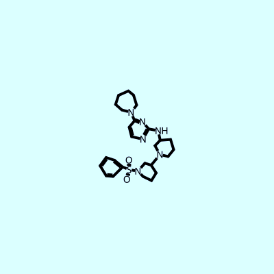 O=S(=O)(c1ccccc1)N1CCCC(N2CCCC(Nc3nccc(N4CCCCCC4)n3)C2)C1